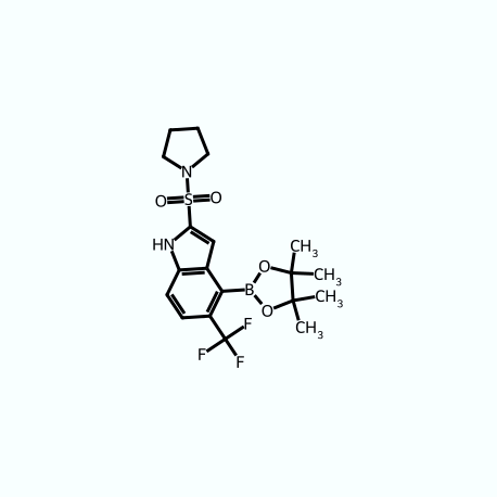 CC1(C)OB(c2c(C(F)(F)F)ccc3[nH]c(S(=O)(=O)N4CCCC4)cc23)OC1(C)C